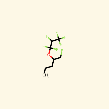 CCCC(CF)OC(F)(F)C(F)C(F)(F)F